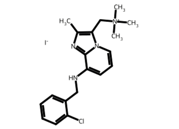 Cc1nc2c(NCc3ccccc3Cl)cccn2c1C[N+](C)(C)C.[I-]